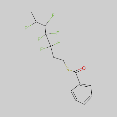 CC(F)C(F)C(F)(F)C(F)(F)CCSC(=O)c1ccccc1